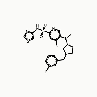 Cc1cc(S(=O)(=O)Nc2cscn2)ncc1N(C)[C@H]1CCN(Cc2cccc(F)c2)C1